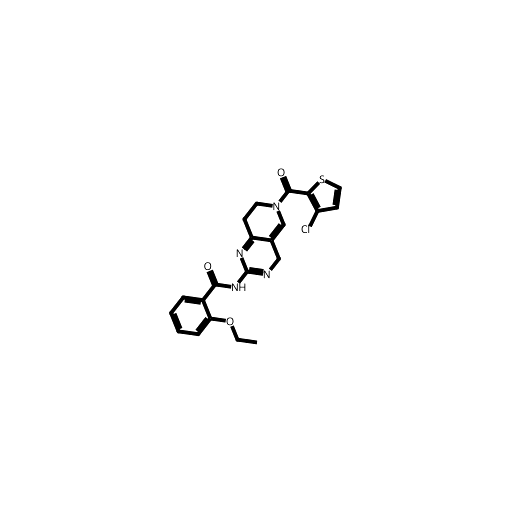 CCOc1ccccc1C(=O)NC1=NCC2=CN(C(=O)c3sccc3Cl)CCC2=N1